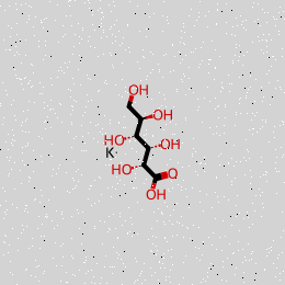 O=C(O)[C@H](O)[C@@H](O)[C@H](O)[C@H](O)CO.[K]